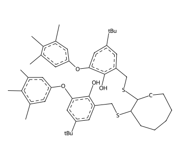 Cc1cc(Oc2cc(C(C)(C)C)cc(CSC3CCCCCCC3SCc3cc(C(C)(C)C)cc(Oc4cc(C)c(C)c(C)c4)c3O)c2O)cc(C)c1C